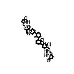 Cc1c(-c2ccn3c(=O)c(CNC[C@@H]4CCC(=O)N4)cnc3c2)cccc1-c1cccc(-c2ccc(CNC[C@H]3CCC(=O)N3)c(Cl)n2)c1Cl